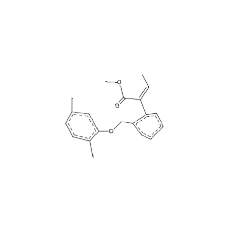 CC=C(C(=O)OC)c1ccccc1COc1cc(C)ccc1C